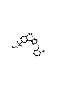 CNS(=O)(=O)c1ccc(N)c(-c2nnn(Cc3ccccc3F)n2)c1